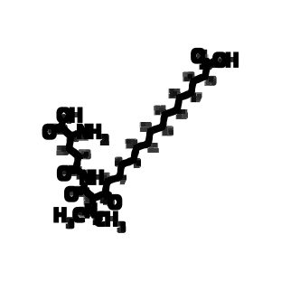 CN(C)C(C(=O)CCCCCCCCCCCCCCC(=O)O)C(=O)NC(=O)CC[C@H](N)C(=O)O